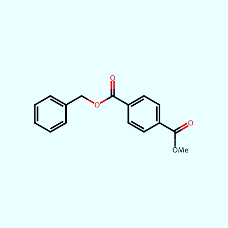 COC(=O)c1ccc(C(=O)OCc2ccccc2)cc1